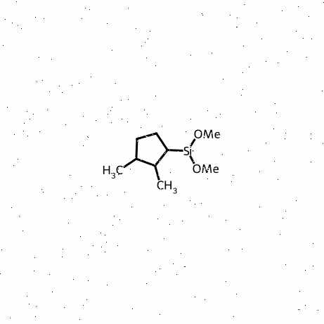 CO[Si](OC)C1CCC(C)C1C